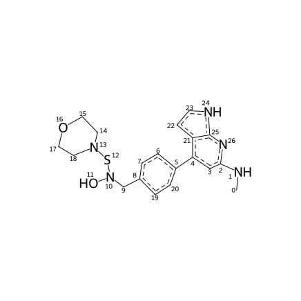 CNc1cc(-c2ccc(CN(O)SN3CCOCC3)cc2)c2cc[nH]c2n1